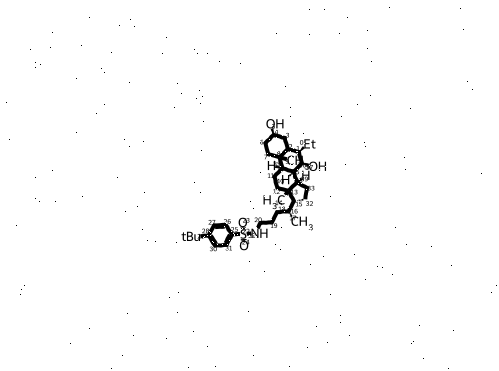 CC[C@@H]1C2C[C@H](O)CCC2(C)[C@H]2CCC3(C)[C@@H]([C@H](C)CCCNS(=O)(=O)c4ccc(C(C)(C)C)cc4)CC[C@H]3[C@@H]2[C@@H]1O